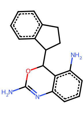 NC1=Nc2cccc(N)c2C(C2CCc3ccccc32)O1